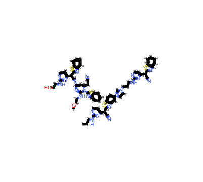 CCCNc1nccc(C(C#N)c2nc3ccccc3s2)n1.COCCNC1=NC=CC(CC#N)N1c1nc2ccccc2s1.N#CC(c1ccnc(NCCCn2ccnc2)n1)c1nc2ccccc2s1.N#CC(c1ccnc(NCCO)n1)c1nc2ccccc2s1